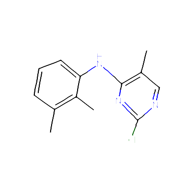 Cc1cnc(Cl)nc1Nc1cccc(C)c1C